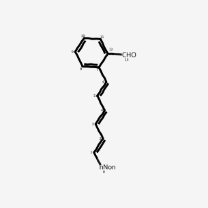 CCCCCCCCCC=CC=CC=Cc1ccccc1C=O